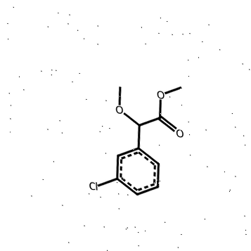 COC(=O)C(OC)c1cccc(Cl)c1